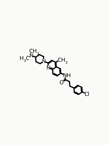 Cc1cc(N2CCC(N(C)C)CC2)nc2ccc(NC(=O)CCc3ccc(Cl)cc3)cc12